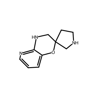 c1cnc2c(c1)OC1(CCNC1)CN2